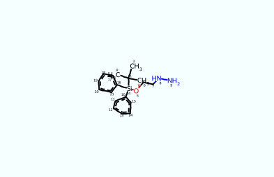 CC(C)(C)[Si](OCCNN)(c1ccccc1)c1ccccc1